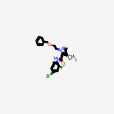 Cc1cnn(CCOCc2ccccc2)c1C(=O)Nc1ccc(Br)cc1F